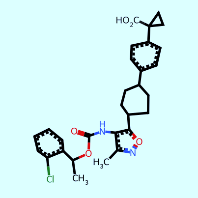 Cc1noc(C2CCC(c3ccc(C4(C(=O)O)CC4)cc3)CC2)c1NC(=O)OC(C)c1ccccc1Cl